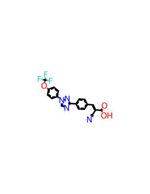 N#C/C(=C\c1ccc(-c2ncn(-c3ccc(OC(F)(F)F)cc3)n2)cc1)C(=O)O